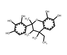 CCC1(C)c2ccc(O)c(O)c2OC(C)(c2ccc(O)c(O)c2O)C1C